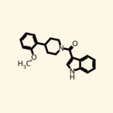 COc1ccccc1C1CCN(C(=O)c2c[nH]c3ccccc23)CC1